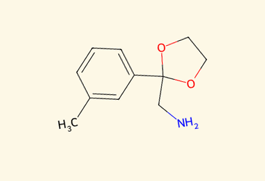 Cc1cccc(C2(CN)OCCO2)c1